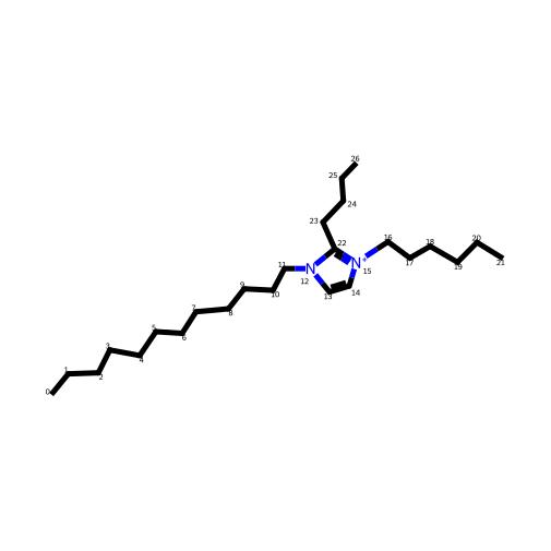 CCCCCCCCCCCCn1cc[n+](CCCCCC)c1CCCC